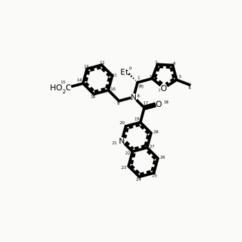 CC[C@H](c1ccc(C)o1)N(Cc1cccc(C(=O)O)c1)C(=O)c1cnc2ccccc2c1